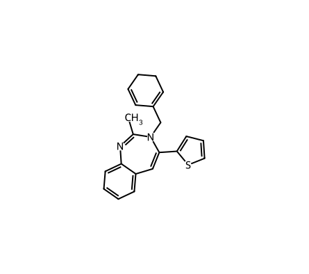 CC1=Nc2ccccc2C=C(c2cccs2)N1CC1=CCCC=C1